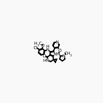 COc1c(Cl)cccc1Nc1c(-c2ccncc2OC[C@H]2CCCN2C)[nH]c2c1C(=O)NCC21CC1